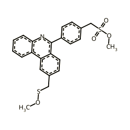 COSCc1ccc2c(-c3ccc(CS(=O)(=O)OC)cc3)nc3ccccc3c2c1